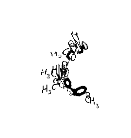 COc1ccc(-c2ccc(OP(=O)(N[C@@H](C)C(=O)OC(C)C)OC[C@@H]3C[C@@](C)(F)[C@H](n4ccc(=O)[nH]c4=O)O3)cc2)cc1